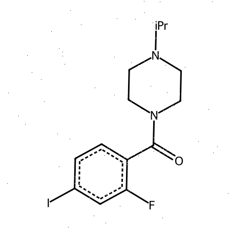 CC(C)N1CCN(C(=O)c2ccc(I)cc2F)CC1